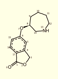 O=C1OCc2cc(O[C@H]3CCCCNC3)ccc21